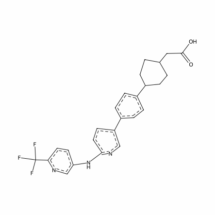 O=C(O)CC1CCC(c2ccc(-c3ccc(Nc4ccc(C(F)(F)F)nc4)nc3)cc2)CC1